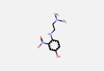 CN(C)CCNc1ccc(O)cc1[N+](=O)[O-]